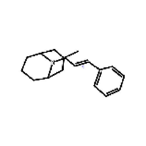 CC1CC2CCCC(C1)N2C/C=C/c1ccccc1